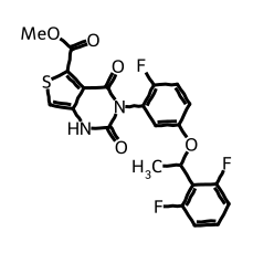 COC(=O)c1scc2[nH]c(=O)n(-c3cc(OC(C)c4c(F)cccc4F)ccc3F)c(=O)c12